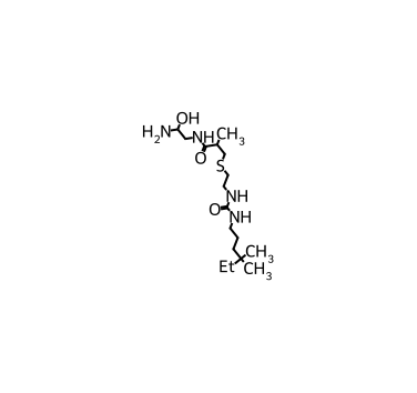 CCC(C)(C)CCCNC(=O)NCCSCC(C)C(=O)NCC(N)O